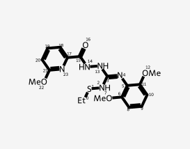 CCSN/C(=N\c1c(OC)cccc1OC)NNC(=O)c1cccc(OC)n1